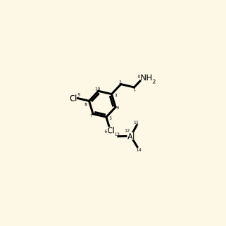 NCCc1cc(Cl)cc(Cl)c1.[CH3][Al]([CH3])[CH3]